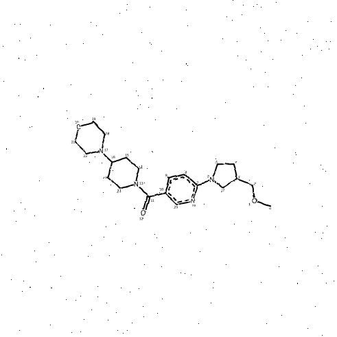 COCC1CCN(c2ccc(C(=O)N3CCC(N4CCOCC4)CC3)cn2)C1